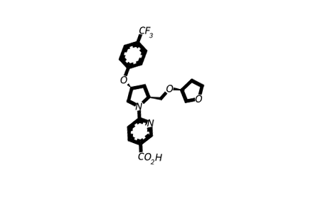 O=C(O)c1ccc(N2C[C@H](Oc3ccc(C(F)(F)F)cc3)C[C@H]2CO[C@H]2CCOC2)nc1